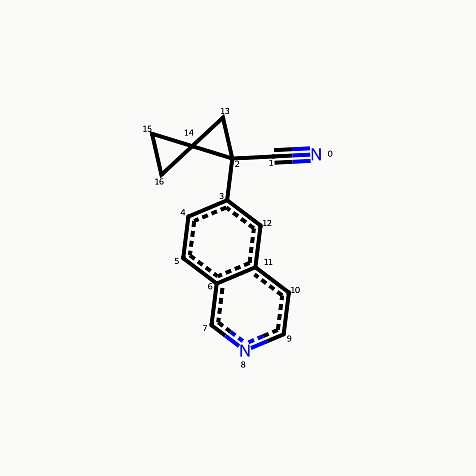 N#CC1(c2ccc3cnccc3c2)CC12CC2